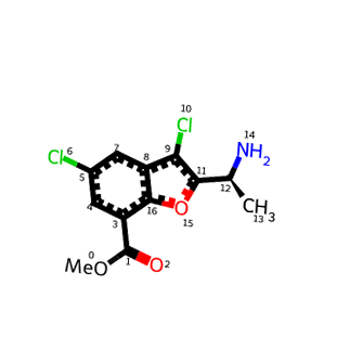 COC(=O)c1cc(Cl)cc2c(Cl)c([C@H](C)N)oc12